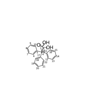 O=[SH](O)(O)C(c1ccccc1)(c1ccccc1)c1ccccc1